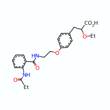 CCOC(Cc1ccc(OCCNC(=O)c2ccccc2NC(=O)CC)cc1)C(=O)O